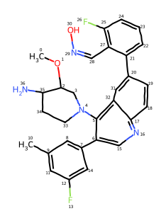 COC1CN(c2c(-c3cc(C)cc(F)c3)cnc3ccc(-c4cccc(F)c4C=NO)cc23)CCC1N